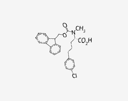 CN(C(=O)OCC1c2ccccc2-c2ccccc21)[C@@H](CCCc1ccc(Cl)cc1)C(=O)O